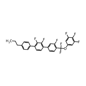 CCCc1ccc(-c2ccc(-c3ccc(C(F)(F)Oc4cc(F)c(F)c(F)c4)c(F)c3)c(F)c2F)cc1